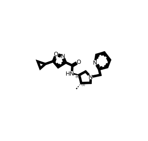 C[C@H]1CN(Cc2ccccn2)C[C@@H]1NC(=O)c1cc(C2CC2)on1